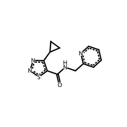 O=C(NCc1ccccn1)c1snnc1C1CC1